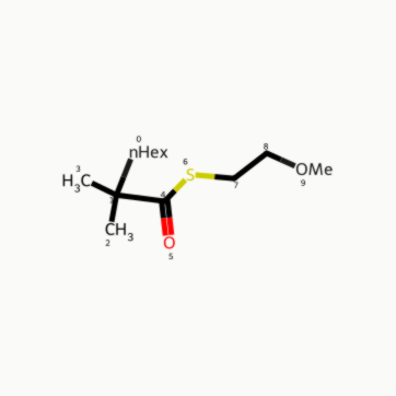 CCCCCCC(C)(C)C(=O)SCCOC